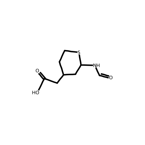 O=CNC1CC(CC(=O)O)CCS1